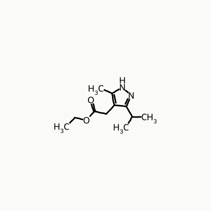 CCOC(=O)Cc1c(C(C)C)n[nH]c1C